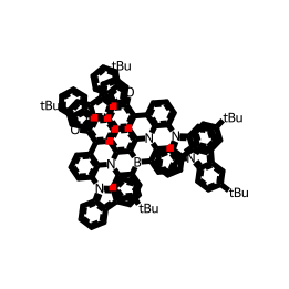 CC(C)(C)c1ccc2c(c1)B1c3ccc(-n4c5ccc(C(C)(C)C)cc5c5cc(C(C)(C)C)ccc54)cc3N(c3c(-c4cccc5c4oc4ccccc45)cccc3-n3c4ccccc4c4ccccc43)c3cc(-n4c5ccc(C(C)(C)C)cc5c5cc(C(C)(C)C)ccc54)cc(c31)N2c1c(-c2cccc3c2oc2ccccc23)cccc1-n1c2ccccc2c2ccccc21